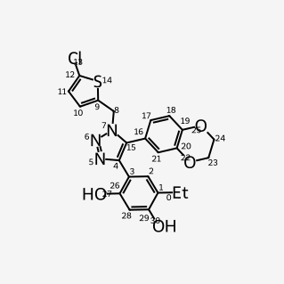 CCc1cc(-c2nnn(Cc3ccc(Cl)s3)c2-c2ccc3c(c2)OCCO3)c(O)cc1O